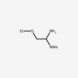 CCOCC(N)NC